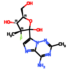 Cc1nc(N)c2ncc(C3(O)O[C@H](CO)[C@@H](O)[C@@]3(C)F)n2n1